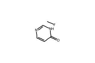 CF.O=c1ccnc[nH]1